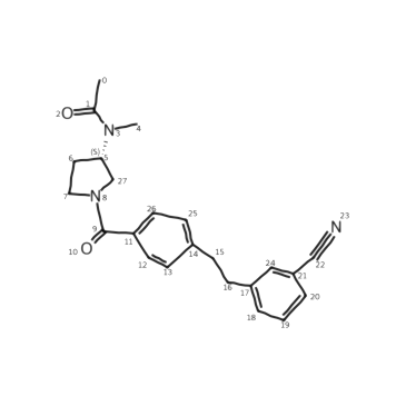 CC(=O)N(C)[C@H]1CCN(C(=O)c2ccc(CCc3cccc(C#N)c3)cc2)C1